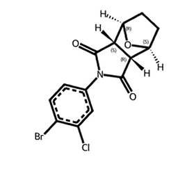 O=C1[C@@H]2[C@H](C(=O)N1c1ccc(Br)c(Cl)c1)[C@H]1CC[C@@H]2O1